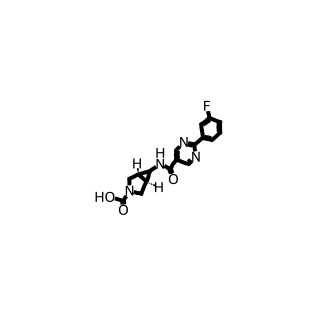 O=C(NC1[C@H]2CN(C(=O)O)C[C@@H]12)c1cnc(-c2cccc(F)c2)nc1